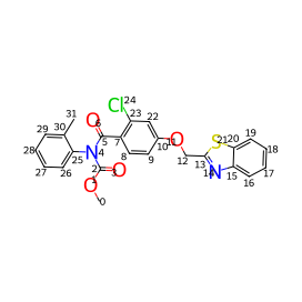 COC(=O)N(C(=O)c1ccc(OCc2nc3ccccc3s2)cc1Cl)c1ccccc1C